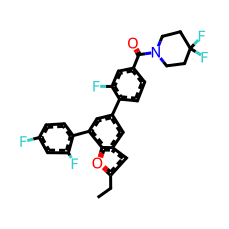 CCc1cc2cc(-c3ccc(C(=O)N4CCC(F)(F)CC4)cc3F)cc(-c3ccc(F)cc3F)c2o1